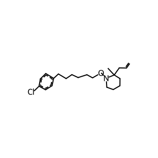 C=CCC1(C)CCCCN1OCCCCCCc1ccc(Cl)cc1